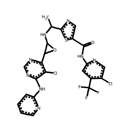 CC(NC1OC1c1ncnc(Nc2ccccn2)c1Cl)c1ncc(C(=O)Nc2cc(C(F)(F)F)c(Cl)cn2)s1